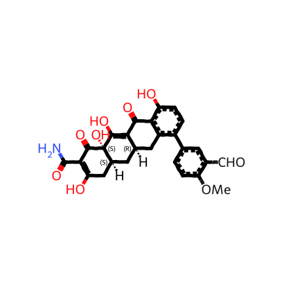 COc1ccc(-c2ccc(O)c3c2C[C@H]2C[C@H]4CC(O)=C(C(N)=O)C(=O)[C@@]4(O)C(O)=C2C3=O)cc1C=O